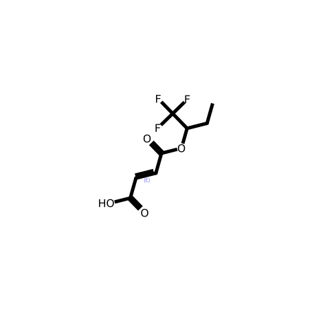 CCC(OC(=O)/C=C/C(=O)O)C(F)(F)F